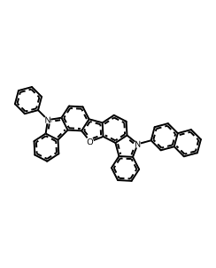 c1ccc(-n2c3ccccc3c3c4oc5c(ccc6c5c5ccccc5n6-c5ccc6ccccc6c5)c4ccc32)cc1